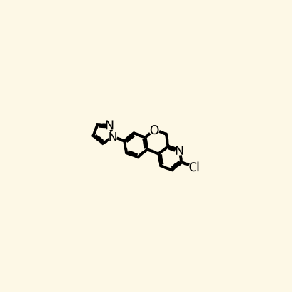 Clc1ccc2c(n1)COc1cc(-n3cccn3)ccc1-2